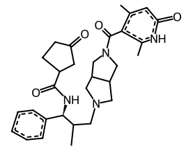 Cc1cc(=O)[nH]c(C)c1C(=O)N1CC2CN(CC(C)[C@H](NC(=O)C3CCC(=O)C3)c3ccccc3)CC2C1